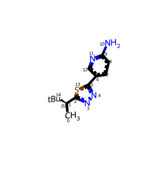 C[C@H](c1nnc(-c2ccc(N)nc2)s1)C(C)(C)C